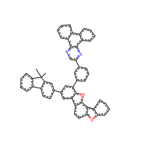 CC1(C)c2ccccc2-c2ccc(-c3cc(-c4cccc(-c5cnc6c7ccccc7c7ccccc7c6n5)c4)c4oc5c(ccc6oc7ccccc7c65)c4c3)cc21